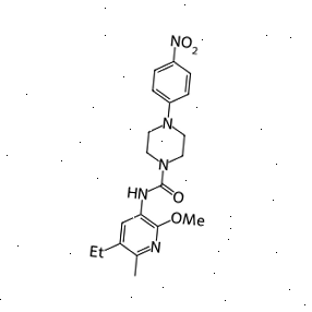 CCc1cc(NC(=O)N2CCN(c3ccc([N+](=O)[O-])cc3)CC2)c(OC)nc1C